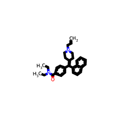 C=CCN1CCC(=C(c2ccc(C(=O)N(CC)CC)cc2)c2cccc3ccccc23)CC1